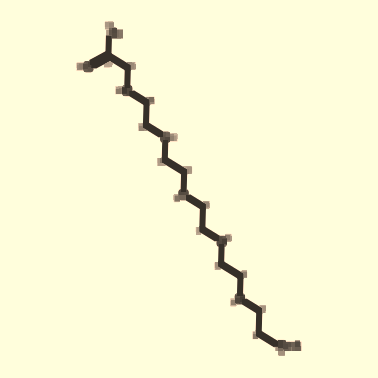 CCCC(C)CCOCCOCCOCCOCCOCC(=O)C(C)CC